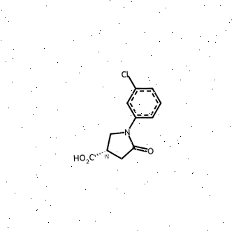 O=C(O)[C@H]1CC(=O)N(c2cccc(Cl)c2)C1